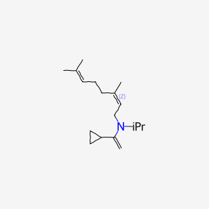 C=C(C1CC1)N(C/C=C(/C)CCC=C(C)C)C(C)C